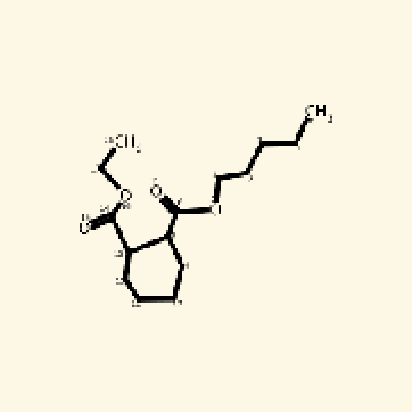 CCCCCOC(=O)C1CCCCC1C(=O)OCC